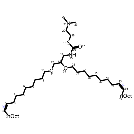 CCCCCCCC/C=C\CCCCCCCCOCC(CNC(=O)SCCN(C)C)OCCCCCCCC/C=C\CCCCCCCC